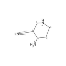 N#CC1CNCCC1N